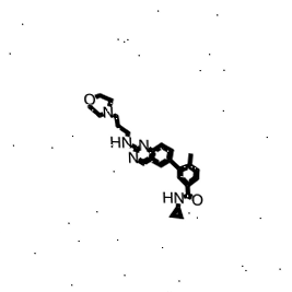 Cc1ccc(C(=O)NC2CC2)cc1-c1ccc2nc(NCCCN3CCOCC3)ncc2c1